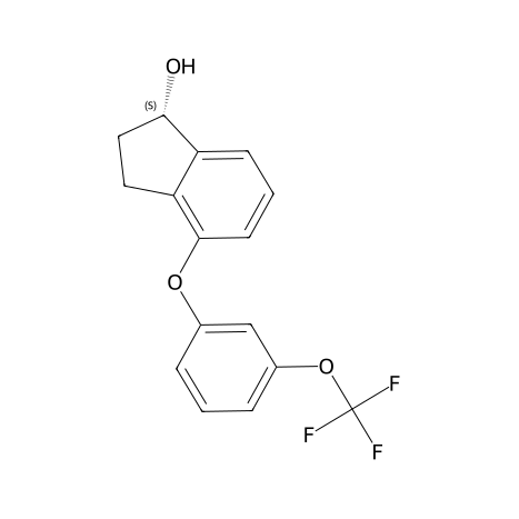 O[C@H]1CCc2c(Oc3cccc(OC(F)(F)F)c3)cccc21